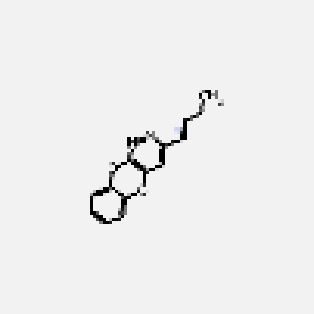 CC/C=C/c1cc2c(nn1)Oc1ccccc1O2